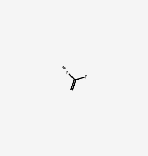 C=C(F)F.[Ru]